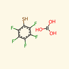 Fc1c(F)c(F)c(S)c(F)c1F.OB(O)O